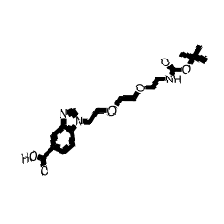 CC(C)(C)OC(=O)NCCOCCOCCn1cnc2cc(C(=O)O)ccc21